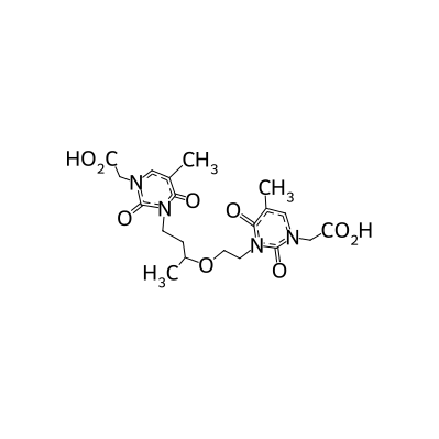 Cc1cn(CC(=O)O)c(=O)n(CCOC(C)CCn2c(=O)c(C)cn(CC(=O)O)c2=O)c1=O